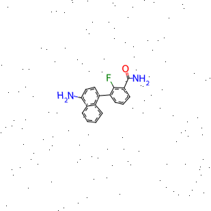 NC(=O)c1cccc(-c2ccc(N)c3ccccc23)c1F